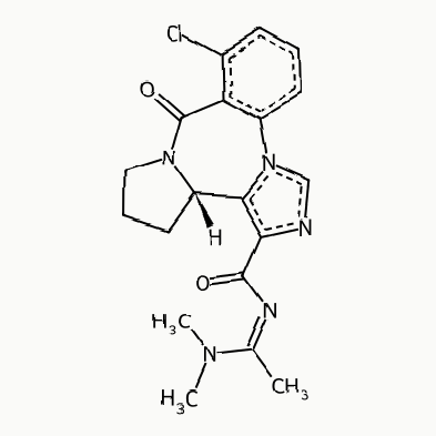 C/C(=N/C(=O)c1ncn2c1[C@@H]1CCCN1C(=O)c1c(Cl)cccc1-2)N(C)C